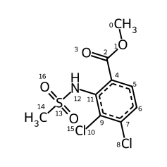 COC(=O)c1ccc(Cl)c(Cl)c1NS(C)(=O)=O